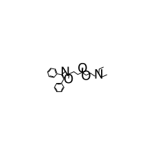 CCN(CC)CCOC(=O)CCc1nc(-c2ccccc2)c(-c2ccccc2)o1